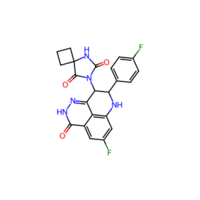 O=C1NC2(CCC2)C(=O)N1C1c2n[nH]c(=O)c3cc(F)cc(c23)NC1c1ccc(F)cc1